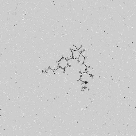 CC1(C)OB(c2ccc(OCC(F)(F)F)nc2)OC1(C)CC/C=C(Br)\C=C/NN